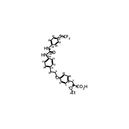 CCO[C@@H](Cc1ccc(OCCc2ccc(NC(=O)Nc3ccc(SC(F)(F)F)cc3)cc2)cc1)C(=O)O